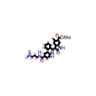 COC(=O)c1cc2c(cc1C)/C(=C(/Nc1ccc(C(=O)NCCCN(C)C)cc1)c1ccccc1)C(=O)N2